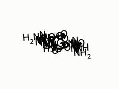 COC1C2CO[P@](=O)(S)NC3C(CO[PH](=O)OC1C(n1cnc4c(=O)[nH]c(N)nc41)O2)OC(n1cnc2c(N)ncnc21)C3F